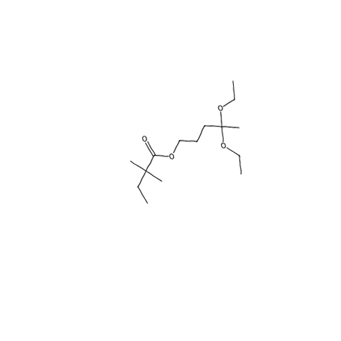 CCOC(C)(CCCOC(=O)C(C)(C)CC)OCC